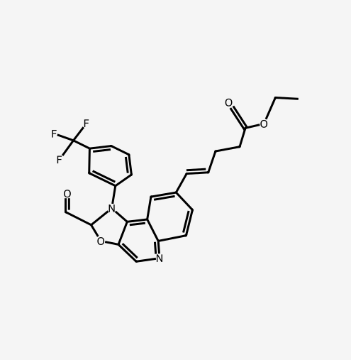 CCOC(=O)CC/C=C/c1ccc2ncc3c(c2c1)N(c1cccc(C(F)(F)F)c1)C(C=O)O3